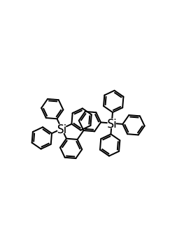 c1ccc([Si](c2ccccc2)(c2ccccc2)c2cccc(-c3ccccc3[Si](c3ccccc3)(c3ccccc3)c3ccccc3)c2)cc1